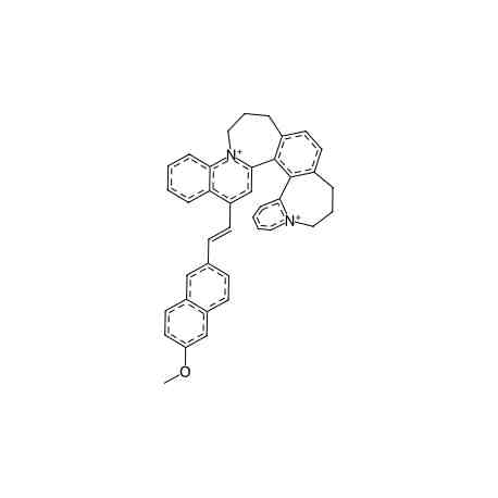 COc1ccc2cc(/C=C/c3cc4[n+](c5ccccc35)CCCc3ccc5c(c3-4)-c3cccc[n+]3CCC5)ccc2c1